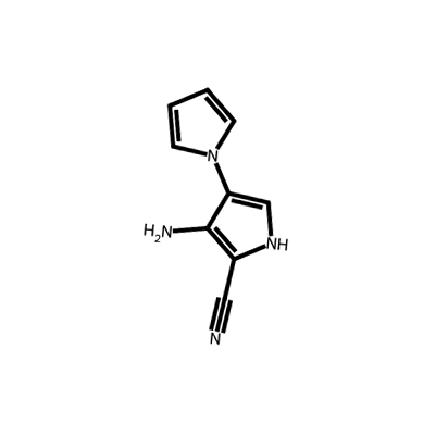 N#Cc1[nH]cc(-n2cccc2)c1N